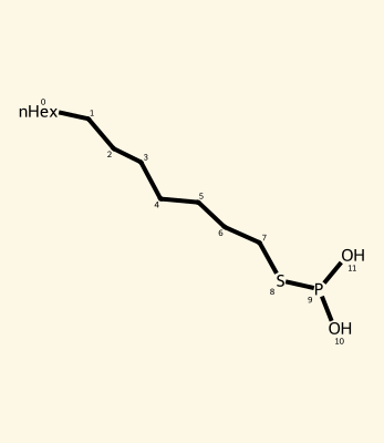 CCCCCCCCCCCCCSP(O)O